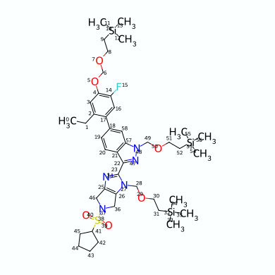 CCc1cc(OCOCC[Si](C)(C)C)c(F)cc1-c1ccc2c(-c3nc4c(n3COCC[Si](C)(C)C)CN(S(=O)(=O)C3CCCC3)C4)nn(COCC[Si](C)(C)C)c2c1